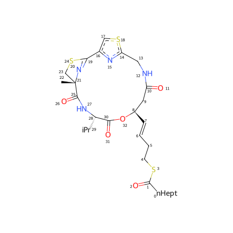 CCCCCCCC(=O)SCCC=C[C@@H]1CC(=O)NCc2nc(cs2)C2=N[C@@](C)(CS2)C(=O)N[C@@H](C(C)C)C(=O)O1